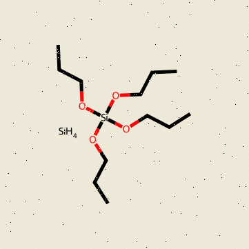 CCCO[Si](OCCC)(OCCC)OCCC.[SiH4]